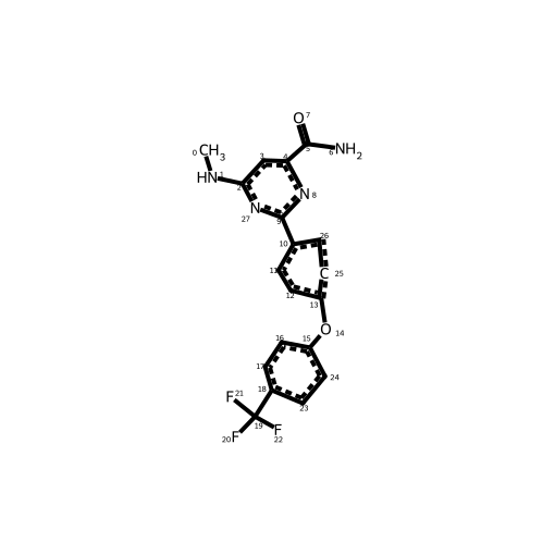 CNc1cc(C(N)=O)nc(-c2ccc(Oc3ccc(C(F)(F)F)cc3)cc2)n1